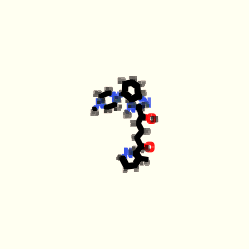 Cc1cccnc1C(=O)CCCC(=O)c1nc2cccc(N3CCN(C)CC3)c2n1C